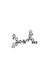 Cc1c(C)c(-c2ccc(N(c3ccc4c(c3)C(C)(C)c3ccccc3-4)c3ccc4c(c3)C(C)(C)c3ccccc3-4)cc2)n(C)c1-c1ccc(N(c2ccc3c(c2)C(C)(C)c2ccccc2-3)c2ccc3c(c2)C(C)(C)c2ccccc2-3)cc1